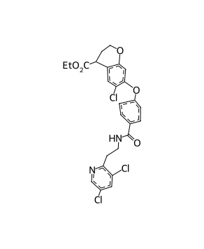 CCOC(=O)C1CCOc2cc(Oc3ccc(C(=O)NCCc4ncc(Cl)cc4Cl)cc3)c(Cl)cc21